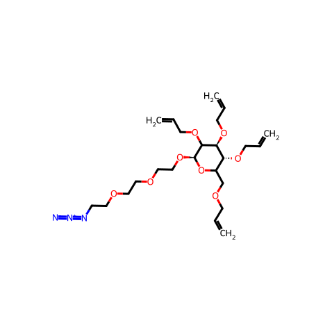 C=CCOCC1O[C@@H](OCCOCCOCCN=[N+]=[N-])C(OCC=C)[C@@H](OCC=C)[C@@H]1OCC=C